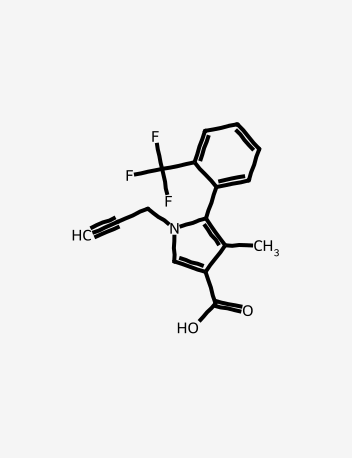 C#CCn1cc(C(=O)O)c(C)c1-c1ccccc1C(F)(F)F